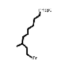 CCCCCCCCCCCCCC(C)CC[C](C)C